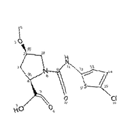 CO[C@@H]1C[C@H](C(=O)O)N(C(=O)Nc2ccc(Cl)s2)C1